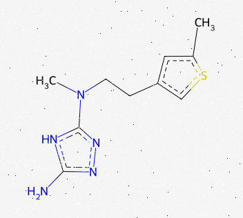 Cc1cc(CCN(C)c2nnc(N)[nH]2)cs1